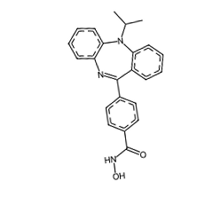 CC(C)N1c2ccccc2N=C(c2ccc(C(=O)NO)cc2)c2ccccc21